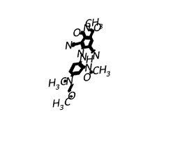 COCCN(C)c1ccc(/N=N/c2c(C#N)cc3c(c2C#N)C(=O)N(C)C3=O)c(NC(C)=O)c1